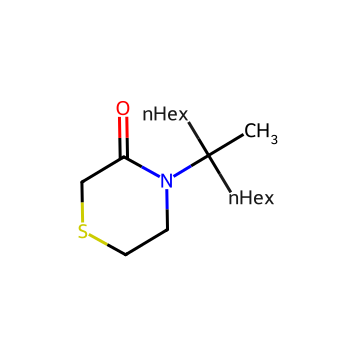 CCCCCCC(C)(CCCCCC)N1CCSCC1=O